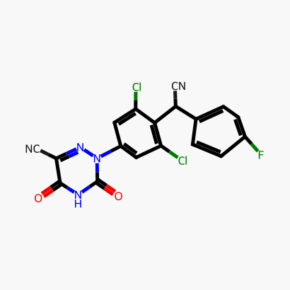 N#Cc1nn(-c2cc(Cl)c(C(C#N)c3ccc(F)cc3)c(Cl)c2)c(=O)[nH]c1=O